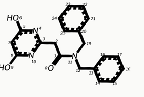 O=C(Cc1nc(O)cc(O)n1)N(Cc1ccccc1)Cc1ccccc1